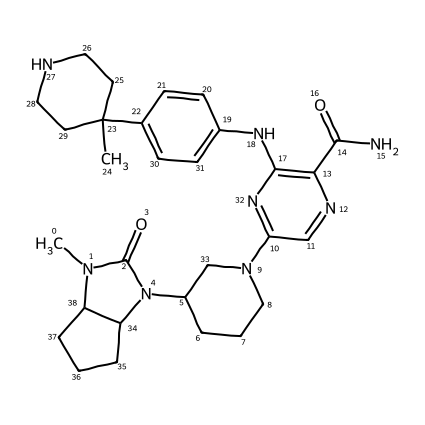 CN1C(=O)N(C2CCCN(c3cnc(C(N)=O)c(Nc4ccc(C5(C)CCNCC5)cc4)n3)C2)C2CCCC21